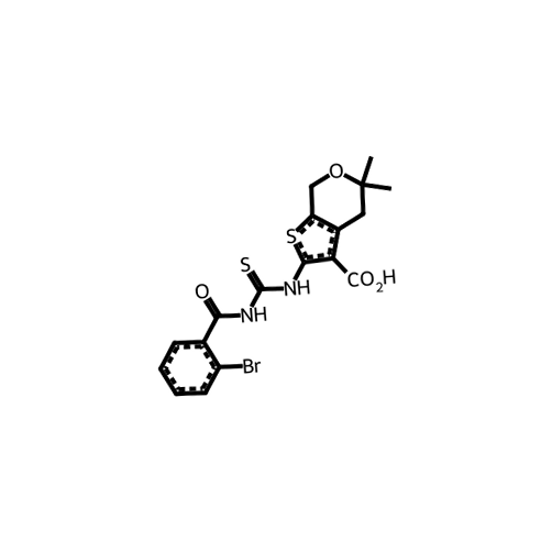 CC1(C)Cc2c(sc(NC(=S)NC(=O)c3ccccc3Br)c2C(=O)O)CO1